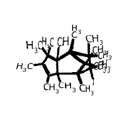 CC1=C(C)C2(C)C3(C)C(C)(C)C(C)(C(C)(C)C3(C)I)C2(C)C1(C)C